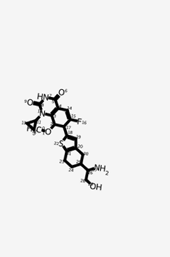 COC1c2c(c(=O)[nH]c(=O)n2C2CC2)C=C(F)C1c1cc2c(s1)CCC(C(N)CO)C2